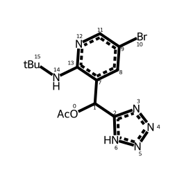 CC(=O)OC(c1nnn[nH]1)c1cc(Br)cnc1NC(C)(C)C